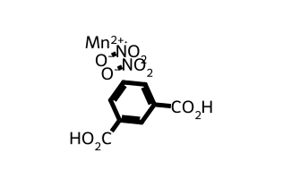 O=C(O)c1cccc(C(=O)O)c1.O=[N+]([O-])[O-].O=[N+]([O-])[O-].[Mn+2]